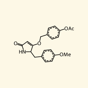 COc1ccc(CC2NC(=O)C=C2OCc2ccc(OC(C)=O)cc2)cc1